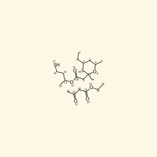 CCC1CC(C)OC(C)(CC(=O)OC(C)CCS)S1.CCOC(=O)CC(C)=O